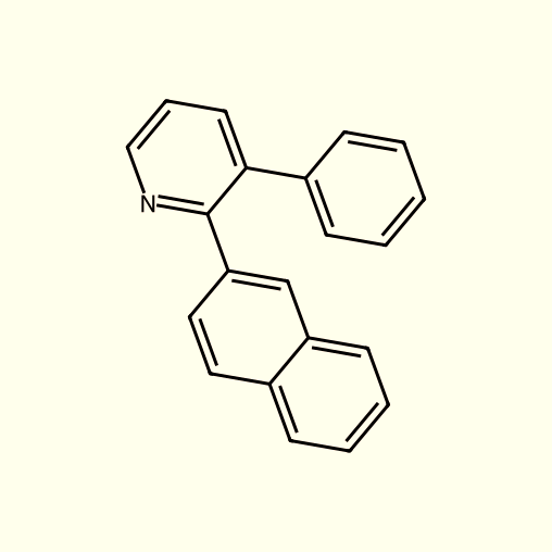 c1ccc(-c2cccnc2-c2ccc3ccccc3c2)cc1